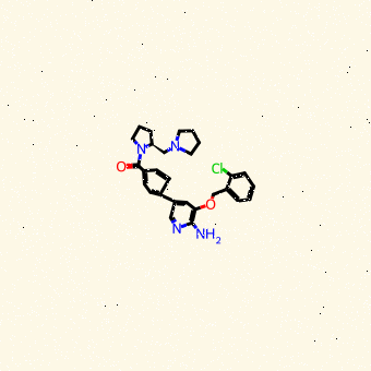 Nc1ncc(-c2ccc(C(=O)N3CCC[C@H]3CN3CCCC3)cc2)cc1OCc1ccccc1Cl